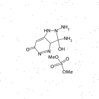 COS(=O)(=O)OC.NN1NC2=CC(=O)N=NC2C1(N)O